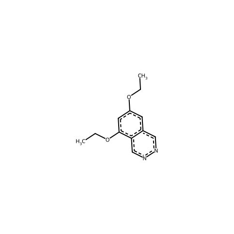 CCOc1cc(OCC)c2cnncc2c1